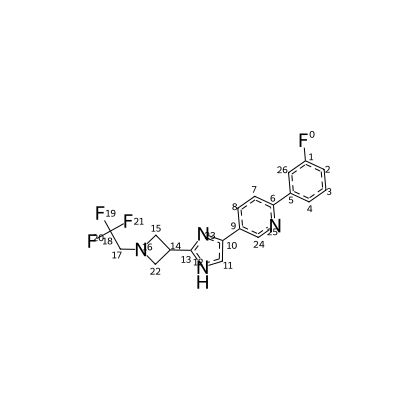 Fc1cccc(-c2ccc(-c3c[nH]c(C4CN(CC(F)(F)F)C4)n3)cn2)c1